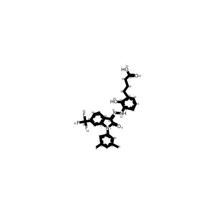 Cc1cc(C)cc(N2C(=O)/C(=N\Nc3cccc(CCCC(=O)O)c3O)c3ccc(C(F)(F)F)cc32)c1